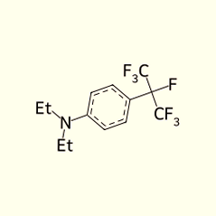 CCN(CC)c1ccc(C(F)(C(F)(F)F)C(F)(F)F)cc1